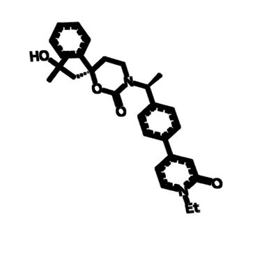 CCn1ccc(-c2ccc([C@H](C)N3CC[C@](CC(C)(C)O)(c4ccccc4)OC3=O)cc2)cc1=O